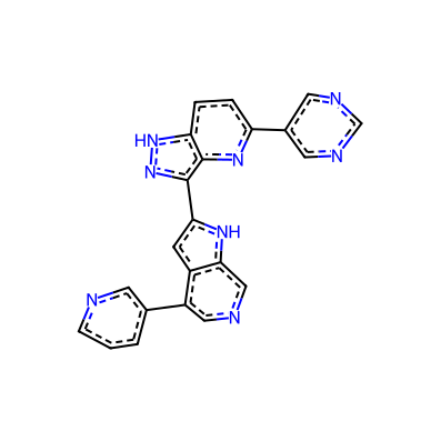 c1cncc(-c2cncc3[nH]c(-c4n[nH]c5ccc(-c6cncnc6)nc45)cc23)c1